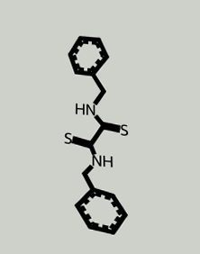 S=C(NCc1ccccc1)C(=S)NCc1ccccc1